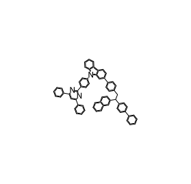 c1ccc(-c2ccc(C(Cc3ccc(-c4ccc5c6ccccc6n(-c6ccc(-c7nc(-c8ccccc8)cc(-c8ccccc8)n7)cc6)c5c4)cc3)c3ccc4ccccc4c3)cc2)cc1